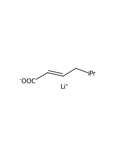 CC(C)C/C=C/C(=O)[O-].[Li+]